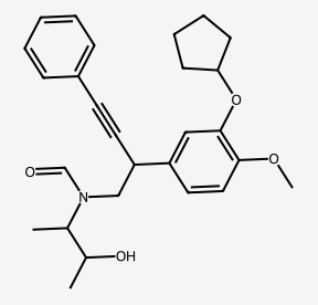 COc1ccc(C(C#Cc2ccccc2)CN(C=O)C(C)C(C)O)cc1OC1CCCC1